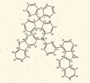 c1ccc(C2(c3ccccc3)c3ccccc3-c3c(N(c4cccc(-c5cccc6oc7c8ccccc8ccc7c56)c4)c4ccc5sc6ccccc6c5c4)cccc32)cc1